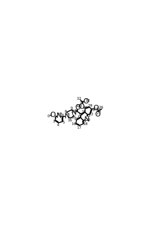 COc1cccc(N2CCN(C(=O)c3c4ccccc4nc4cc(OC(C)=O)cc(OC(C)=O)c34)CC2)n1